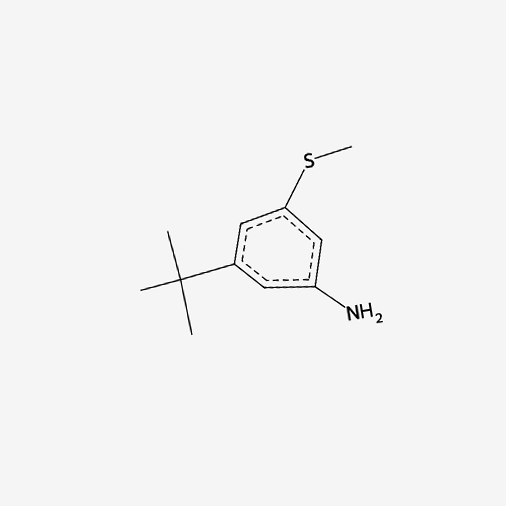 CSc1cc(N)cc(C(C)(C)C)c1